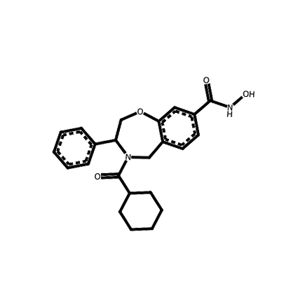 O=C(NO)c1ccc2c(c1)OCC(c1ccccc1)N(C(=O)C1CCCCC1)C2